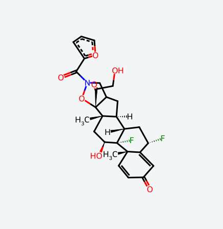 C[C@]12C=CC(=O)C=C1[C@@H](F)C[C@H]1[C@@H]3CC4CN(C(=O)c5ccco5)O[C@@]4(C(=O)CO)[C@@]3(C)C[C@H](O)[C@@]12F